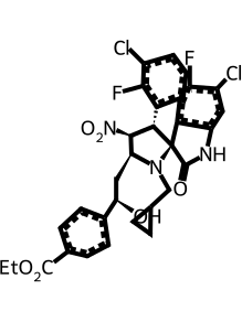 CCOC(=O)c1ccc([C@H](O)C[C@H]2[C@@H]([N+](=O)[O-])[C@H](c3cccc(Cl)c3F)[C@]3(C(=O)Nc4cc(Cl)c(F)cc43)N2CC2CC2)cc1